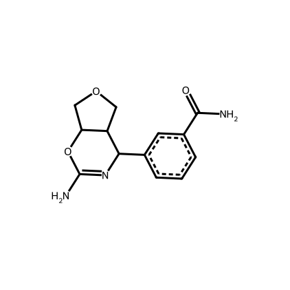 NC(=O)c1cccc(C2N=C(N)OC3COCC32)c1